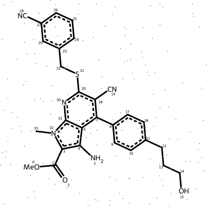 COC(=O)c1c(N)c2c(-c3ccc(CCCO)cc3)c(C#N)c(SCc3cccc(C#N)c3)nc2n1C